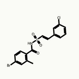 Cc1cc(Br)ccc1C(=O)NS(=O)(=O)C=Cc1cccc(Cl)c1